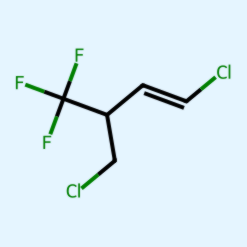 FC(F)(F)C(C=CCl)CCl